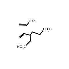 C=CC(CCC(=O)O)CC(=O)O.C=COC(C)=O